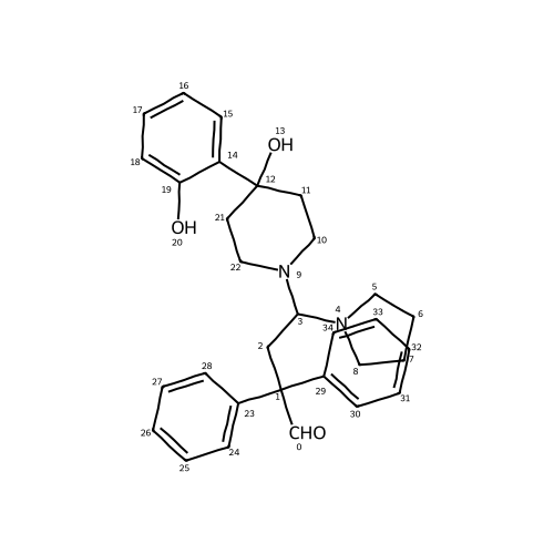 O=CC(CC(N1CCCC1)N1CCC(O)(c2ccccc2O)CC1)(c1ccccc1)c1ccccc1